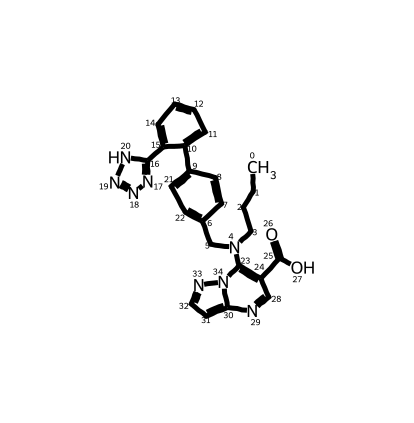 CCCCN(Cc1ccc(-c2ccccc2-c2nnn[nH]2)cc1)c1c(C(=O)O)cnc2ccnn12